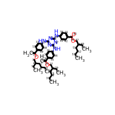 C=C(OCC(CC)CCCC)c1ccc(Nc2nc(Nc3ccc(C(=C)OCC(CC)CCCC)cc3)nc(Nc3ccc(C(=O)OCC(CC)CCCC)cc3)n2)cc1